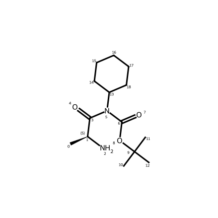 C[C@H](N)C(=O)N(C(=O)OC(C)(C)C)C1CCCCC1